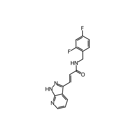 O=C(C=Cc1n[nH]c2ncccc12)NCc1ccc(F)cc1F